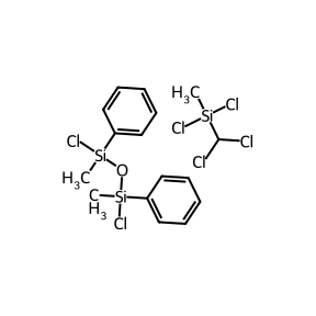 C[Si](Cl)(Cl)C(Cl)Cl.C[Si](Cl)(O[Si](C)(Cl)c1ccccc1)c1ccccc1